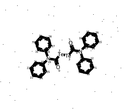 O=C([Te][Te]C(=O)N(c1ccccc1)c1ccccc1)N(c1ccccc1)c1ccccc1